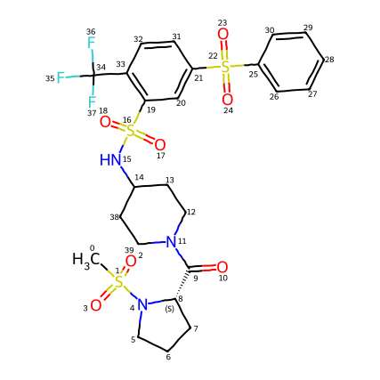 CS(=O)(=O)N1CCC[C@H]1C(=O)N1CCC(NS(=O)(=O)c2cc(S(=O)(=O)c3ccccc3)ccc2C(F)(F)F)CC1